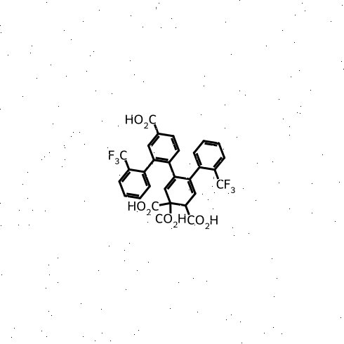 O=C(O)c1ccc(C2=CC(C(=O)O)(C(=O)O)C(C(=O)O)C=C2c2ccccc2C(F)(F)F)c(-c2ccccc2C(F)(F)F)c1